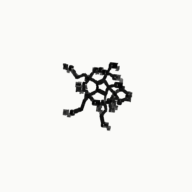 C=CC[Si](C)(C)C1=C([Si](C)(C)CC=C)C(C)([Si](OCC)(OCC)OCC)[C]([Pt]([CH3])([CH3])[CH3])=C1[Si](C)(C)CC=C